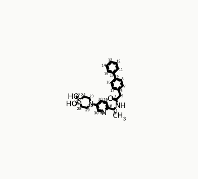 C[C@@H](NC(=O)Cc1ccc(-c2ccccc2)cc1)c1ccc(N2CCS(O)(O)CC2)cn1